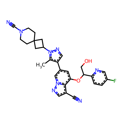 Cc1c(-c2cc(OC(CO)c3ccc(F)cn3)c3c(C#N)cnn3c2)cnn1C1CC2(CCN(C#N)CC2)C1